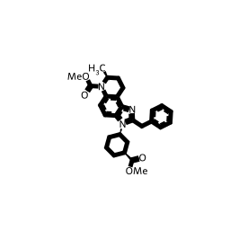 COC(=O)[C@H]1CCC[C@H](n2c(Cc3ccccc3)nc3c4c(ccc32)N(C(=O)OC)[C@@H](C)CC4)C1